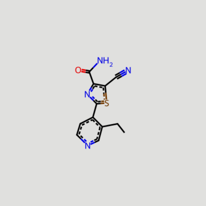 CCc1cnccc1-c1nc(C(N)=O)c(C#N)s1